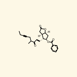 CCC#CCC(C)C(=O)C=C[C@@H]1[C@H]2CC(=O)O[C@H]2C[C@H]1OC(=O)c1ccccc1